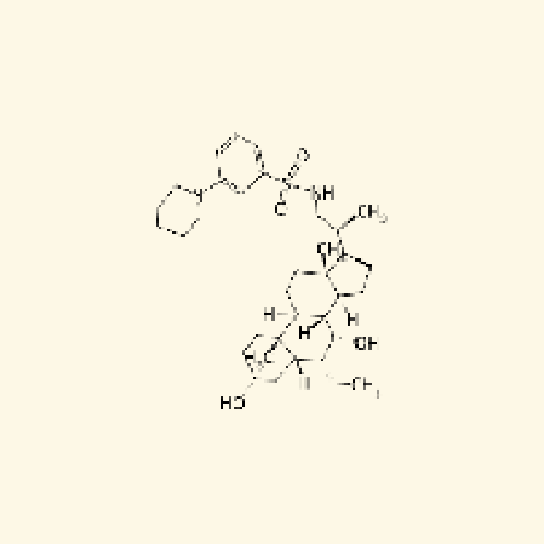 CC[C@H]1[C@@H](O)[C@@H]2[C@H](CC[C@]3(C)[C@@H]([C@H](C)CNS(=O)(=O)c4cccc(N5CCCCC5)c4)CC[C@@H]23)[C@@]2(C)CC[C@@H](O)C[C@@H]12